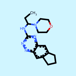 CCC(Nc1nnc2cc3c(cc2n1)CCC3)N1CCOCC1